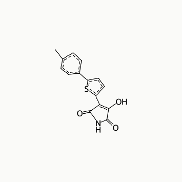 Cc1ccc(-c2ccc(C3=C(O)C(=O)NC3=O)s2)cc1